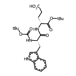 CC(C)(C)OC(=O)N[C@@H](Cc1c[nH]c2ccccc12)C(=O)N[C@H](CCC(=O)O)C(=O)OC(C)(C)C